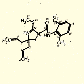 C=CCC1(CC=C)CN(C(=O)Nc2c(C)cccc2C)C(SC)=N1